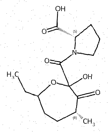 CCC1CC[C@@H](C)C(=O)C(O)(C(=O)N2CCC[C@H]2C(=O)O)O1